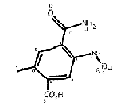 CC[C@H](C)Nc1cc(C(=O)O)c(C)cc1C(N)=O